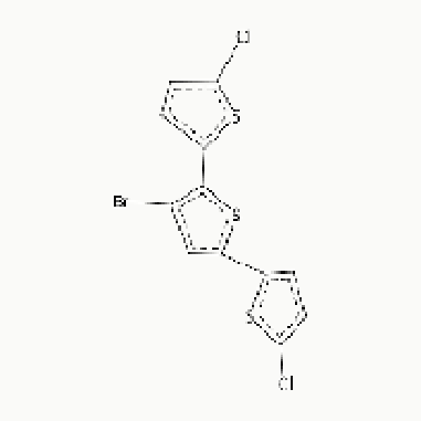 Clc1ccc(-c2cc(Br)c(-c3ccc(Cl)s3)s2)s1